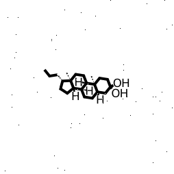 CCC[C@H]1CC[C@H]2[C@@H]3CC[C@H]4CC(O)(O)CC[C@]4(C)[C@H]3CC[C@]12C